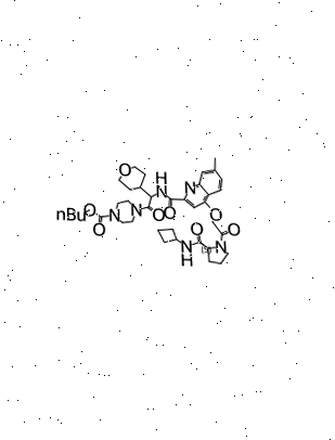 CCCCOC(=O)N1CCN(C(=O)C(NC(=O)c2cc(OCC(=O)N3CCC[C@H]3C(=O)NC3CCC3)c3ccc(C)cc3n2)C2CCOCC2)CC1